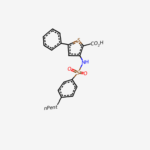 CCCCCc1ccc(S(=O)(=O)Nc2cc(-c3ccccc3)sc2C(=O)O)cc1